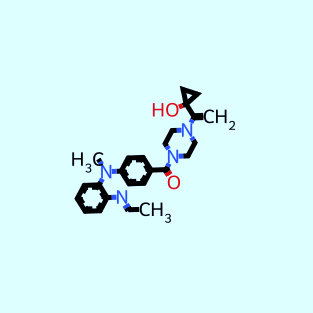 C=C(N1CCN(C(=O)c2ccc(N(C)c3ccccc3/N=C/C)cc2)CC1)C1(O)CC1